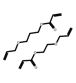 C=CCOCCCOC(=O)C=C.C=CCOCCOC(=O)C=C